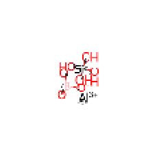 O[Si](O)(O)O.[Al+3].[O-]B([O-])[O-]